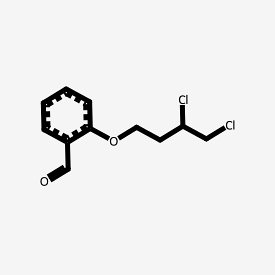 O=Cc1ccccc1OCCC(Cl)CCl